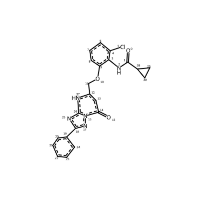 O=C(Nc1c(Cl)cccc1OCc1cc(=O)n2nc(-c3ccccc3)nc2[nH]1)C1CC1